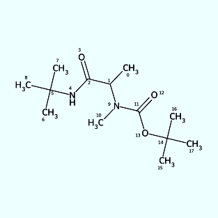 CC(C(=O)NC(C)(C)C)N(C)C(=O)OC(C)(C)C